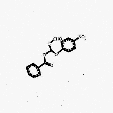 O=COC(OC(=O)c1ccccc1)Oc1ccc([N+](=O)[O-])cc1